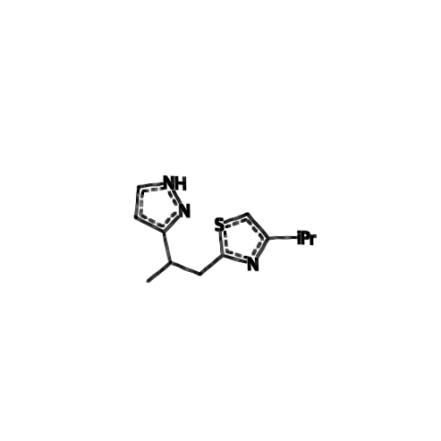 CC(C)c1csc(CC(C)c2cc[nH]n2)n1